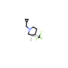 C[C@@H]1CN(CC2CC2)CC[C@@H]1C(F)(F)F